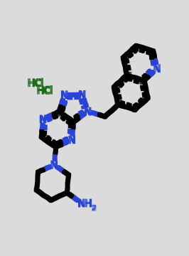 Cl.Cl.NC1CCCN(c2cnc3nnn(Cc4ccc5ncccc5c4)c3n2)C1